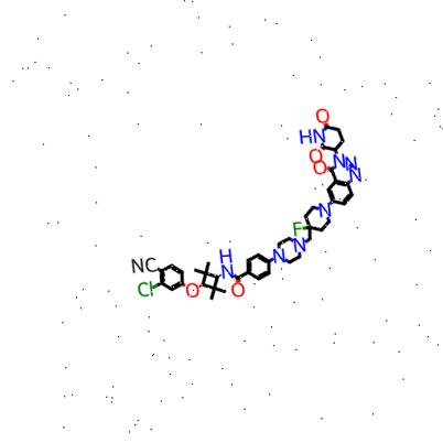 CC1(C)[C@H](NC(=O)c2ccc(N3CCN(CC4(F)CCN(c5ccc6nnn(C7CCC(=O)NC7=O)c(=O)c6c5)CC4)CC3)cc2)C(C)(C)[C@H]1Oc1ccc(C#N)c(Cl)c1